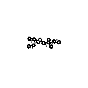 c1ccc2c(c1)oc1ccc(-n3c4ccc5c(-c6ccc7sc8c(c7c6)c6ccccc6c6c8c7ccccc7n6-c6ccc7oc8ccccc8c7c6)cccc5c4c4ccc5c6ccccc6sc5c43)cc12